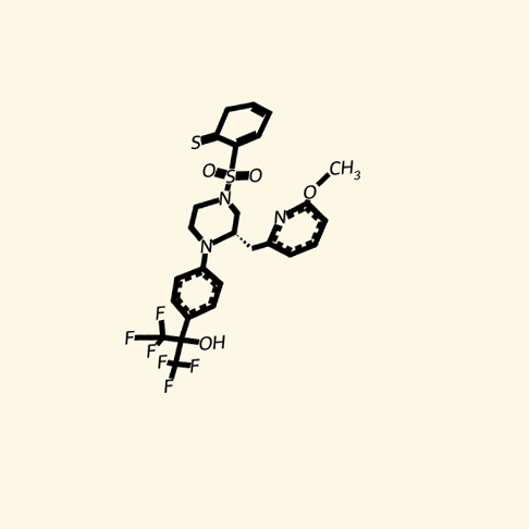 COc1cccc(C[C@H]2CN(S(=O)(=O)C3=CC=CCC3=S)CCN2c2ccc(C(O)(C(F)(F)F)C(F)(F)F)cc2)n1